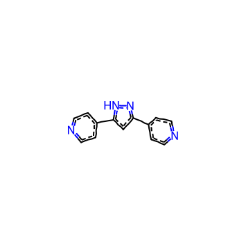 c1cc(-c2cc(-c3ccncc3)[nH]n2)ccn1